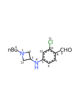 CCCCN1CC(Nc2ccc(C=O)c(Cl)c2)C1